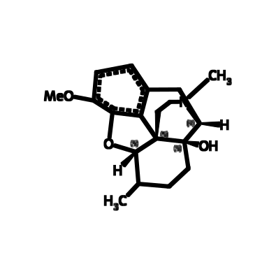 COc1ccc2c3c1O[C@H]1C(C)CC[C@@]4(O)[C@@H](C2)N(C)CC[C@]314